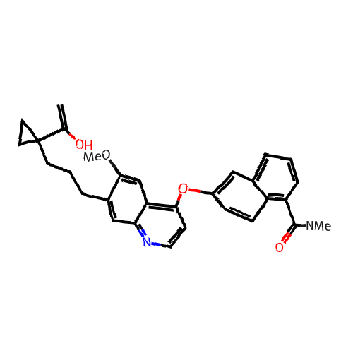 C=C(O)C1(CCCc2cc3nccc(Oc4ccc5c(C(=O)NC)cccc5c4)c3cc2OC)CC1